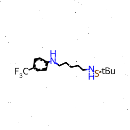 CC(C)(C)SNCCCCCNc1ccc(C(F)(F)F)cc1